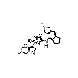 C[C@H]1COc2c(S(N)(=O)=NC(=O)Nc3c4c(cc5c3C[C@H](F)C5)CCC4)cnn2C1